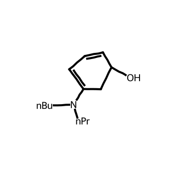 CCCCN(CCC)C1=CC=CC(O)C1